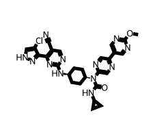 COc1ncc(-c2cnc(N(C(=O)NC3CC3)[C@H]3CC[C@H](Nc4ncc(C#N)c(-c5n[nH]cc5Cl)n4)CC3)cn2)cn1